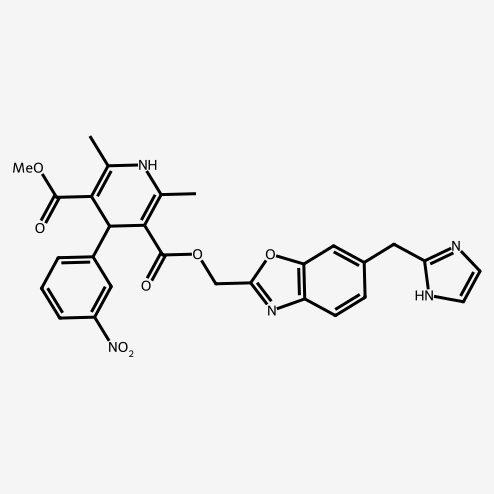 COC(=O)C1=C(C)NC(C)=C(C(=O)OCc2nc3ccc(Cc4ncc[nH]4)cc3o2)C1c1cccc([N+](=O)[O-])c1